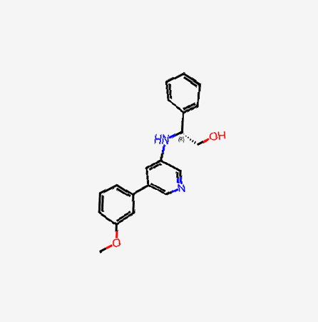 COc1cccc(-c2cncc(N[C@@H](CO)c3ccccc3)c2)c1